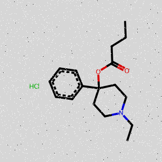 CCCC(=O)OC1(c2ccccc2)CCN(CC)CC1.Cl